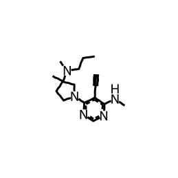 C#Cc1c(NC)ncnc1N1CCC(C)(N(C)CCC)C1